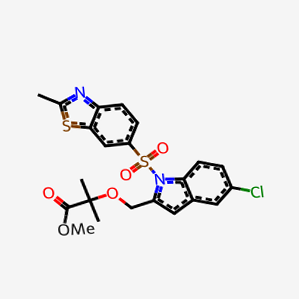 COC(=O)C(C)(C)OCc1cc2cc(Cl)ccc2n1S(=O)(=O)c1ccc2nc(C)sc2c1